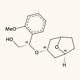 COc1ccccc1[C@@H](CO)O[C@@H]1CC2CC[C@@H](C1)O2